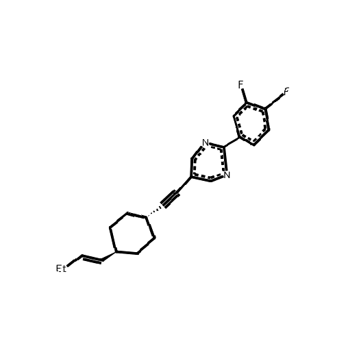 CC/C=C/[C@H]1CC[C@H](C#Cc2cnc(-c3ccc(F)c(F)c3)nc2)CC1